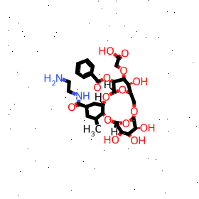 CC1CC(C(=O)NCCN)C[C@H]2O[C@@H]3OC(COC4O[C@@H](OC12)C(O)C(O)[C@@H]4O)[C@H](O)C(OCC(=O)O)C3OC(=O)c1ccccc1